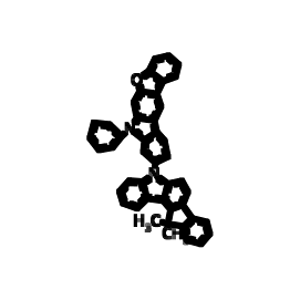 CC1(C)c2ccccc2-c2ccc3c(c21)c1ccccc1n3-c1ccc2c3cc4c(cc3n(-c3ccccc3)c2c1)oc1ccccc14